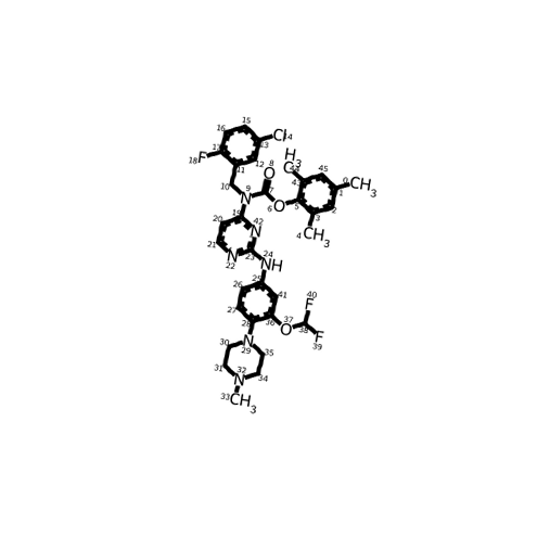 Cc1cc(C)c(OC(=O)N(Cc2cc(Cl)ccc2F)c2ccnc(Nc3ccc(N4CCN(C)CC4)c(OC(F)F)c3)n2)c(C)c1